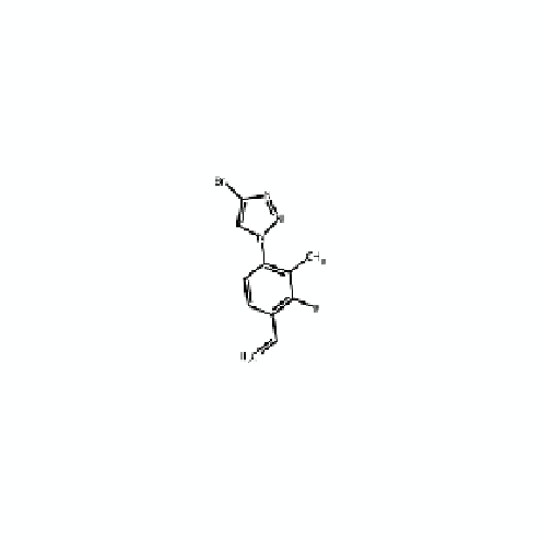 C=Cc1ccc(-n2cc(Br)nn2)c(C)c1F